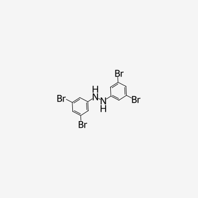 Brc1cc(Br)cc(NNc2cc(Br)cc(Br)c2)c1